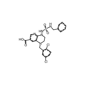 O=C(O)c1cnc2c(c1)N(Cc1cc(Cl)ccc1Cl)CCN2NS(=O)(=O)NCc1ccccc1